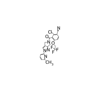 Cc1cccc(-n2cc3c(n2)CN(C(=O)c2c(OCC(F)(F)F)ccc(C#N)c2Cl)C3)n1